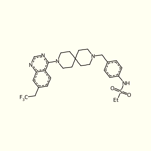 CCS(=O)(=O)Nc1ccc(CN2CCC3(CC2)CCN(c2ncnc4cc(CC(F)(F)F)ccc24)CC3)cc1